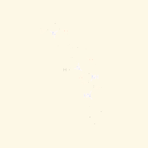 CN1C(=O)[C@@H](NC(=O)C(=O)NCCc2ccccc2)COc2ccc(C#CCN3C(=O)CCC3=O)cc21